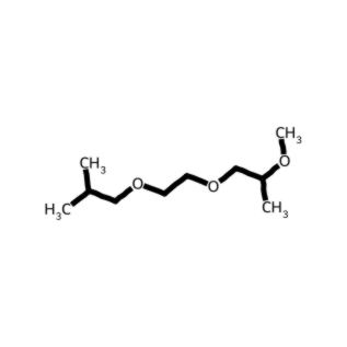 COC(C)COCCOCC(C)C